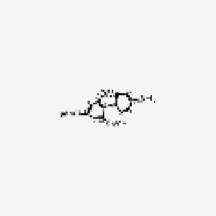 COc1cc(OC)c(-c2ccc(N)cc2)c(OC)c1